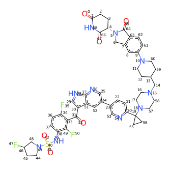 O=C1CC[C@H](N2Cc3cc(N4CCC(CN5CCN(C6(c7ccc(-c8cnc9[nH]cc(C(=O)c%10c(F)ccc(NS(=O)(=O)N%11CC[C@@H](F)C%11)c%10F)c9c8)cn7)CC6)CC5)CC4)ccc3C2=O)C(=O)N1